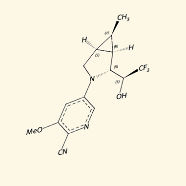 COc1cc(N2C[C@H]3[C@@H](C)[C@H]3[C@@H]2[C@H](O)C(F)(F)F)cnc1C#N